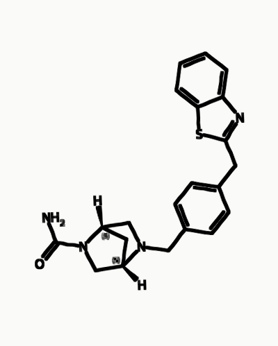 NC(=O)N1C[C@@H]2C[C@H]1CN2Cc1ccc(Cc2nc3ccccc3s2)cc1